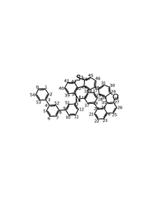 c1ccc(-c2cccc(-c3cccc(N(c4cccc(-c5cccc6ccc7oc8ccccc8c7c56)c4)c4cccc5sc6ccccc6c45)c3)c2)cc1